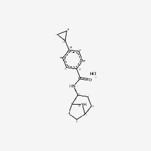 Cl.O=C(NC1CCC2CCC1N2)c1ccc(C2CC2)cc1